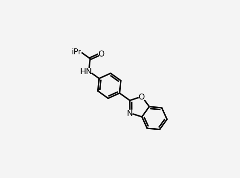 CC(C)C(=O)Nc1ccc(-c2nc3ccccc3o2)cc1